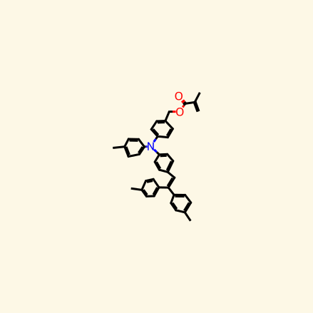 C=C(C)C(=O)OCc1ccc(N(c2ccc(C)cc2)c2ccc(C=C(c3ccc(C)cc3)c3ccc(C)cc3)cc2)cc1